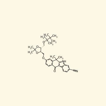 CC1(C)O[C@H](COc2ccc3c(c2)C(C)(C)c2[nH]c4cc(C#N)ccc4c2C3=O)[C@@H](CO[Si](C)(C)C(C)(C)C)O1